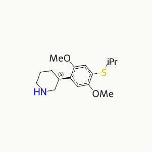 COc1cc([C@@H]2CCCNC2)c(OC)cc1SC(C)C